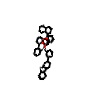 c1cc(-c2ccc3c(c2)sc2ccccc23)cc(N(c2ccc(-c3cccc4ccccc34)cc2)c2ccccc2-c2cccc3c2oc2ccccc23)c1